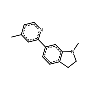 Cc1ccnc(-c2ccc3c(c2)N(C)CC3)c1